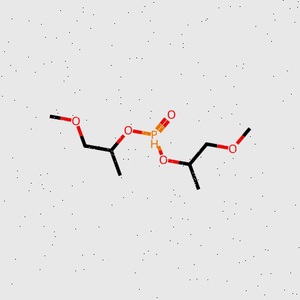 COCC(C)O[PH](=O)OC(C)COC